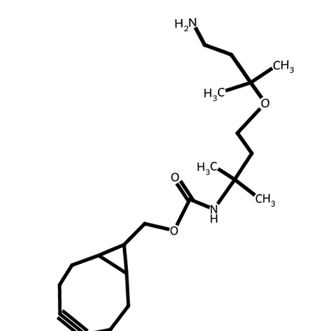 CC(C)(CCOC(C)(C)CCN)NC(=O)OCC1C2CCC#CCCC21